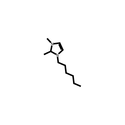 CCCCCCN1C=CN(C)C1C